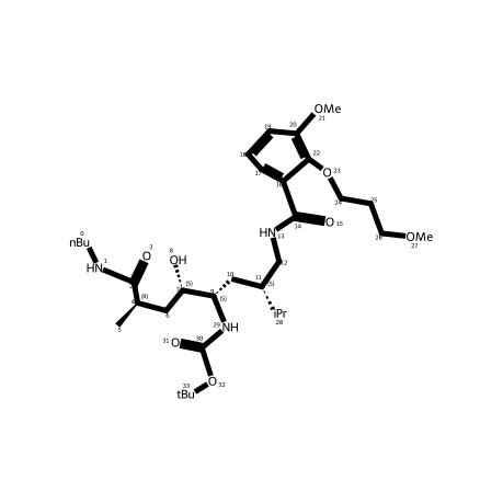 CCCCNC(=O)[C@H](C)C[C@H](O)[C@H](C[C@H](CNC(=O)c1cccc(OC)c1OCCCOC)C(C)C)NC(=O)OC(C)(C)C